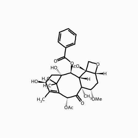 CO[C@H]1C[C@H]2OC[C@@]2(OC(C)=O)[C@H]2[C@H](OC(=O)c3ccccc3)[C@]3(O)C[C@H](O)C(C)=C([C@@H](OC(C)=O)C(=O)[C@]12C)C3(C)C